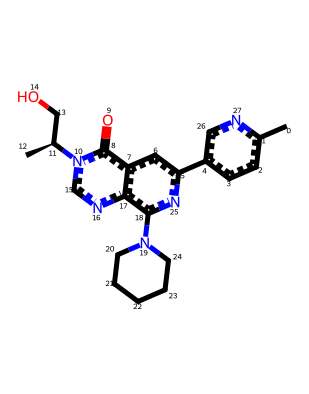 Cc1ccc(-c2cc3c(=O)n([C@@H](C)CO)cnc3c(N3CCCCC3)n2)cn1